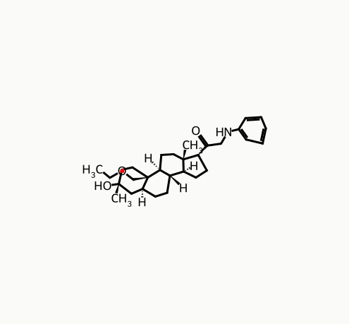 CCOC[C@]12CC[C@@](C)(O)C[C@@H]1CC[C@H]1[C@@H]3CC[C@H](C(=O)CNc4ccccc4)[C@@]3(C)CC[C@@H]12